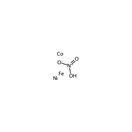 O=[N+]([O-])O.[Co].[Fe].[Ni]